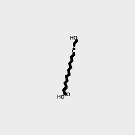 O=C(O)/C=C/CCCCCCCCCCCCCCO